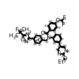 CCOc1ncc(-c2cccc(N(CC34CCC(c5noc(C(C)(C)F)n5)(CC3)CC4)C(=O)c3ccc(OC(F)F)cc3)c2)cn1